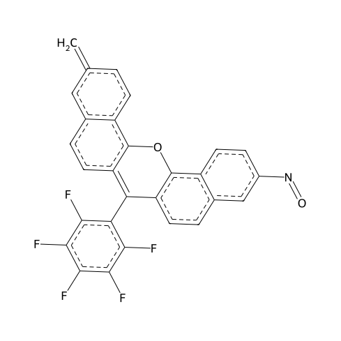 C=c1ccc2c3c(ccc2c1)=C(c1c(F)c(F)c(F)c(F)c1F)c1ccc2cc(N=O)ccc2c1O3